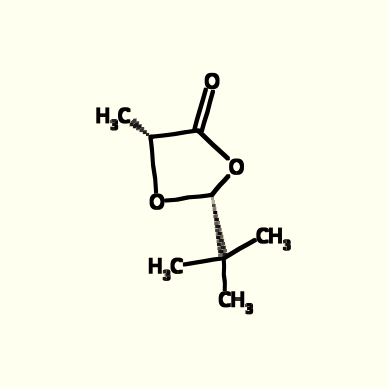 C[C@H]1O[C@@H](C(C)(C)C)OC1=O